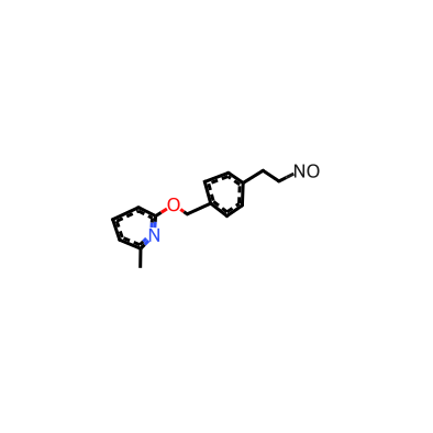 Cc1cccc(OCc2ccc(CCN=O)cc2)n1